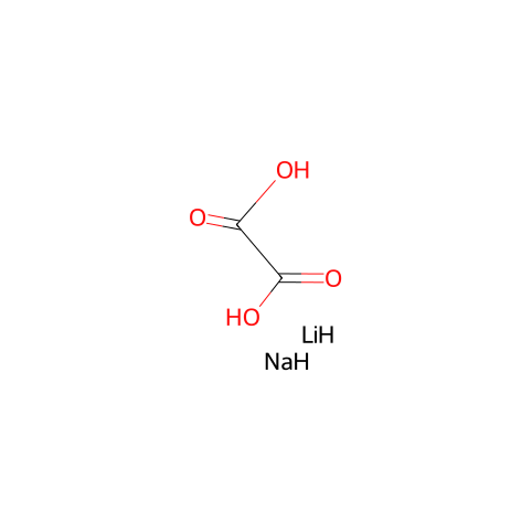 O=C(O)C(=O)O.[LiH].[NaH]